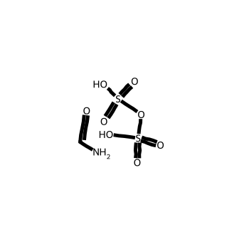 NC=O.O=S(=O)(O)OS(=O)(=O)O